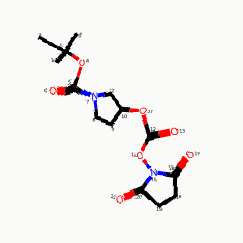 CC(C)(C)OC(=O)N1CCC(OC(=O)ON2C(=O)CCC2=O)C1